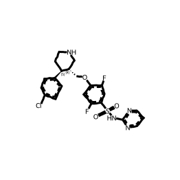 O=S(=O)(Nc1ncccn1)c1cc(F)c(OC[C@H]2CNCC[C@@H]2c2ccc(Cl)cc2)cc1F